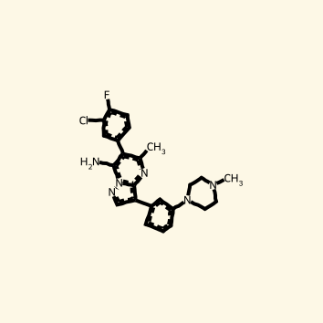 Cc1nc2c(-c3cccc(N4CCN(C)CC4)c3)cnn2c(N)c1-c1ccc(F)c(Cl)c1